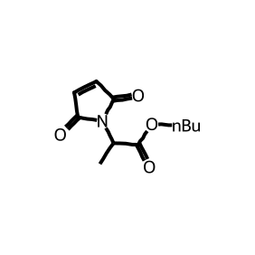 CCCCOC(=O)C(C)N1C(=O)C=CC1=O